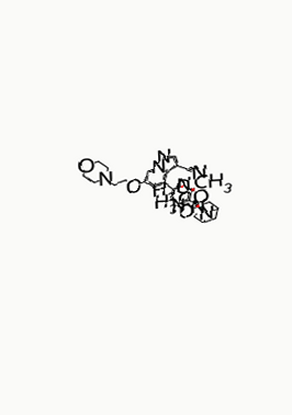 CC(C)(C)OC(=O)N1C2CC1CN(c1cnc(-c3cc(OCCN4CCOCC4)cn4ncc(C#N)c34)cn1)C2